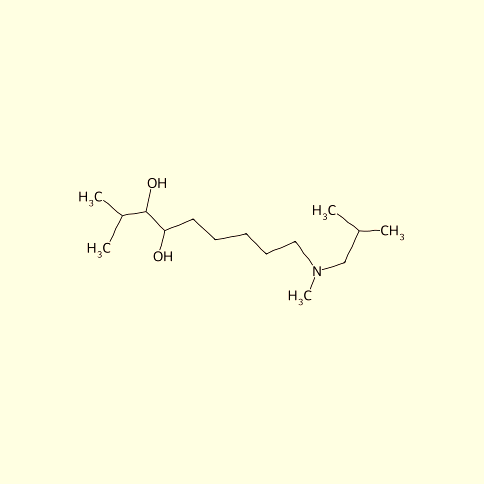 CC(C)CN(C)CCCCCC(O)C(O)C(C)C